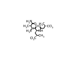 C[C@@H](C(N)=O)N(C)C(=O)[C@H](C[C@H](C)C(Cl)(Cl)Cl)NC(=O)C[C@H](C)C(Cl)(Cl)Cl